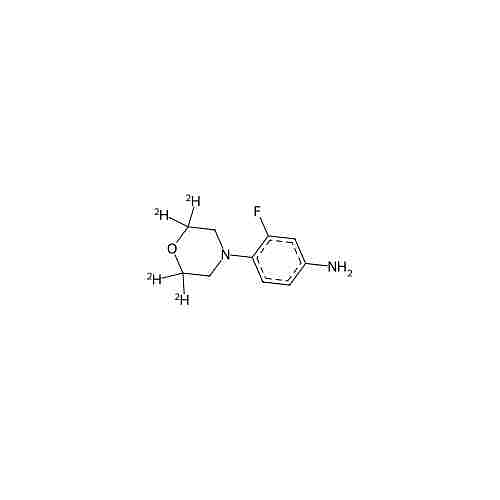 [2H]C1([2H])CN(c2ccc(N)cc2F)CC([2H])([2H])O1